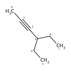 CC#C[C](CC)CC